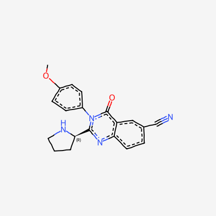 COc1ccc(-n2c([C@H]3CCCN3)nc3ccc(C#N)cc3c2=O)cc1